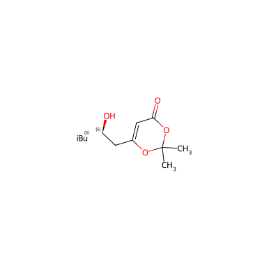 CC[C@H](C)[C@@H](O)CC1=CC(=O)OC(C)(C)O1